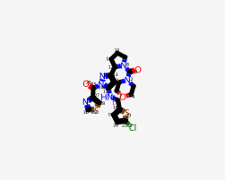 O=C(N1CCOCC1)N1CCCC1c1cc(NCc2ccc(Cl)s2)n(C(=O)c2cscn2)n1